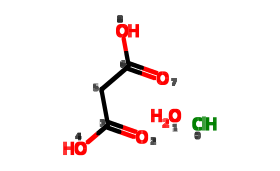 Cl.O.O=C(O)CC(=O)O